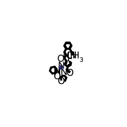 CN(Cc1ccccc1C#N)C(=O)c1scc(C(=O)NC2CCOC2=O)c1/N=C/N1CCCCC1